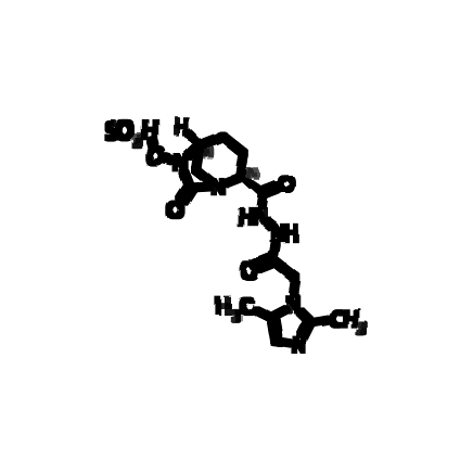 Cc1cnc(C)n1CC(=O)NNC(=O)[C@@H]1CC[C@@H]2CN1C(=O)N2OS(=O)(=O)O